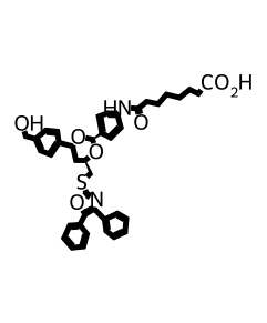 O=C(O)CCCCCCC(=O)Nc1ccc([C@@H]2OC(c3ccc(CO)cc3)C[C@H](CSc3nc(-c4ccccc4)c(-c4ccccc4)o3)O2)cc1